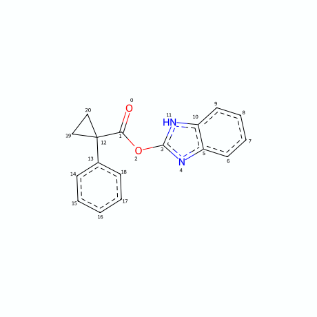 O=C(Oc1nc2ccccc2[nH]1)C1(c2ccccc2)CC1